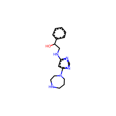 OC(CNc1cc(N2CCCNCC2)ncn1)c1ccccc1